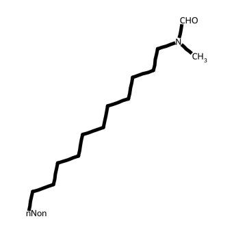 CCCCCCCCCCCCCCCCCCCCN(C)C=O